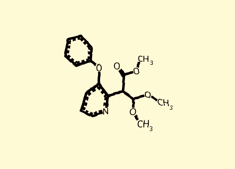 COC(=O)C(c1ncccc1Oc1ccccc1)C(OC)OC